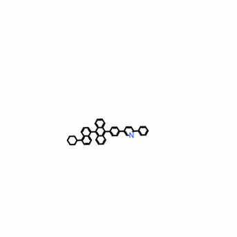 c1ccc(-c2ccc(-c3ccc(-c4c5ccccc5c(-c5cccc6c(C7CCCCC7)cccc56)c5ccccc45)cc3)cn2)cc1